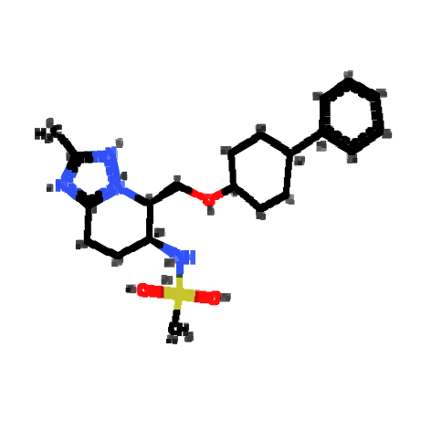 Cc1nc2n(n1)[C@@H](COC1CCC(c3ccccc3)CC1)[C@@H](NS(C)(=O)=O)CC2